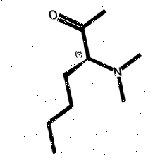 CCCC[C@@H](C(C)=O)N(C)C